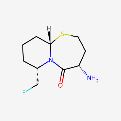 N[C@H]1CCS[C@H]2CCC[C@@H](CF)N2C1=O